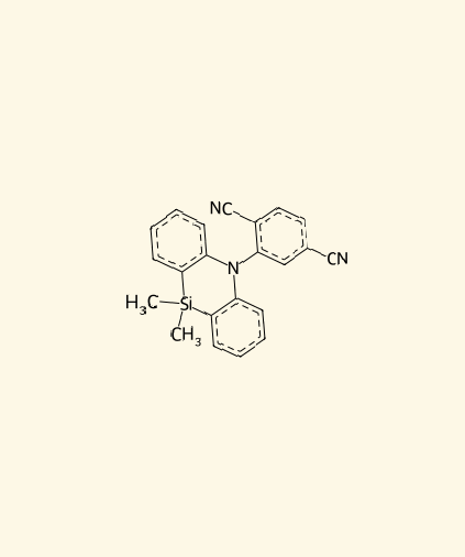 C[Si]1(C)c2ccccc2N(c2cc(C#N)ccc2C#N)c2ccccc21